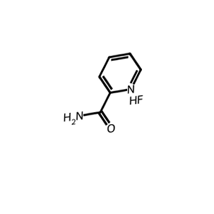 F.NC(=O)c1ccccn1